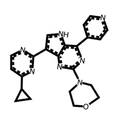 c1cc(-c2nc(N3CCOCC3)nc3c(-c4nccc(C5CC5)n4)c[nH]c23)ccn1